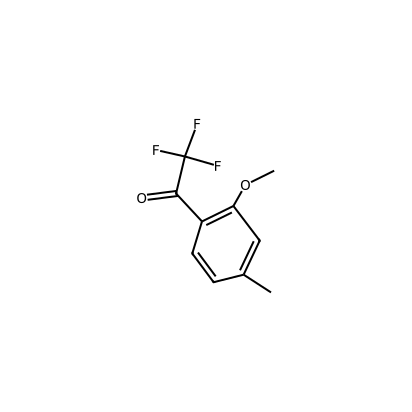 COc1cc(C)ccc1C(=O)C(F)(F)F